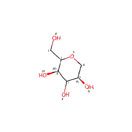 OCC1OC[C@@H](O)C(O)[C@H]1O